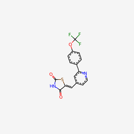 O=C1NC(=O)C(=Cc2ccnc(-c3ccc(OC(F)(F)F)cc3)c2)S1